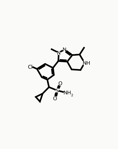 CC1NCCc2c1nn(C)c2-c1cc(Cl)cc(C(C2CC2)S(N)(=O)=O)c1